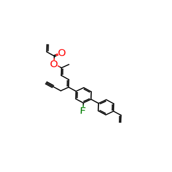 C#CC/C(=C\C=C(/C)OC(=O)C=C)c1ccc(-c2ccc(C=C)cc2)c(F)c1